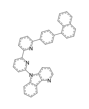 c1cc(-c2ccc(-c3cccc4ccccc34)cc2)nc(-c2cccc(-n3c4ccccc4c4ncccc43)n2)c1